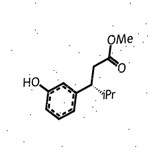 COC(=O)C[C@@H](c1cccc(O)c1)C(C)C